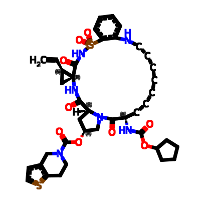 C=C[C@@H]1C[C@@]12NC(=O)[C@@H]1C[C@@H](OC(=O)N3CCc4sccc4C3)CN1C(=O)[C@@H](NC(=O)OC1CCCC1)CCCCCCCNc1ccccc1S(=O)(=O)NC2=O